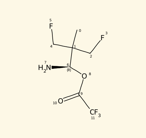 CC(CF)(CF)[C@H](N)OC(=O)C(F)(F)F